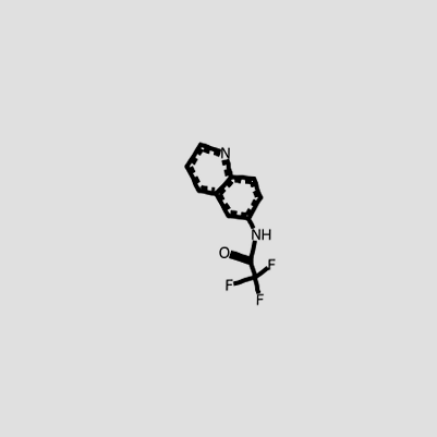 O=C(Nc1ccc2ncccc2c1)C(F)(F)F